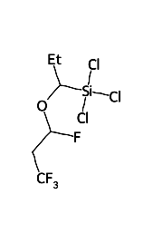 CCC(OC(F)CC(F)(F)F)[Si](Cl)(Cl)Cl